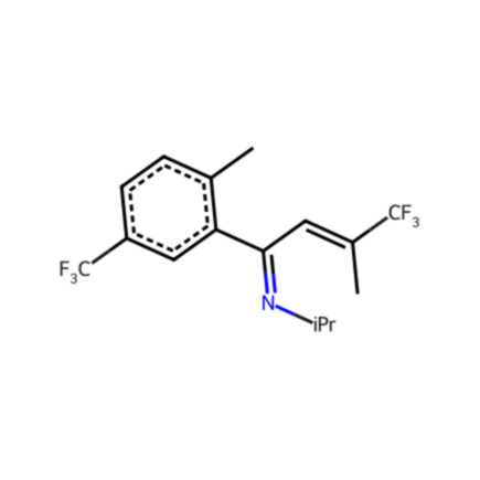 C/C(=C\C(=N/C(C)C)c1cc(C(F)(F)F)ccc1C)C(F)(F)F